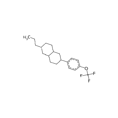 CCCC1CCC2CC(c3ccc(OC(F)(F)F)cc3)CCC2C1